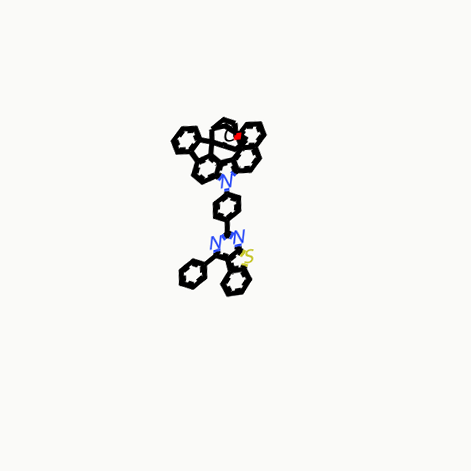 c1ccc(-c2nc(-c3ccc(-n4c5ccc6c(c5c5c7ccccc7ccc54)C4(c5ccccc5-6)C5CC6CC(C5)CC4C6)cc3)nc3sc4ccccc4c23)cc1